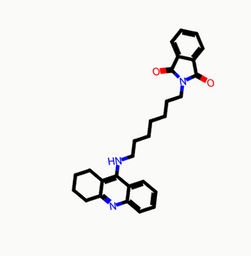 O=C1c2ccccc2C(=O)N1CCCCCCCNc1c2c(nc3ccccc13)CCCC2